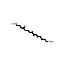 CCCCCCCCCCCCCCCCCCCCCC(=O)CCCNC